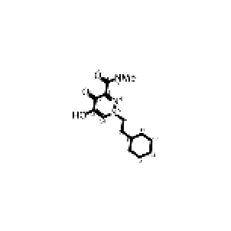 CNC(=O)c1nn(CCC2CCCCC2)cc(O)c1=O